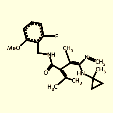 C=N/C(NC1(C)CC1)=C(\C)C(C(=O)NCc1c(F)cccc1OC)=C(C)C